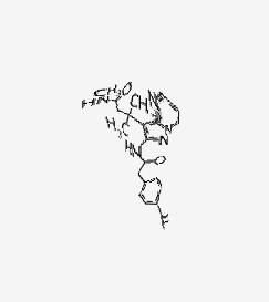 CNC(=O)CC(C)(C)c1c(NC(=O)Cc2ccc(F)cc2)nn2cccnc12